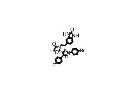 C[C@H]1O[C@@H](c2nn(-c3ccc(Br)cc3)nc2-c2ccc(F)cc2)N(CCc2ccc3[nH]c(=O)[nH]c3c2)C1=O